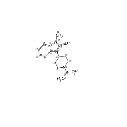 CB(O)N1CCC(n2c(=O)n(C)c3ccccc32)CC1